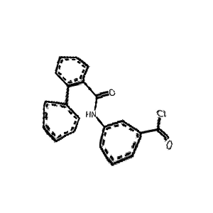 O=C(Cl)c1cccc(NC(=O)c2ccccc2-c2ccccc2)c1